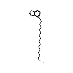 CCCCCCCCCCCCCCCC1c2ccc3c(c21)C=C[CH]3